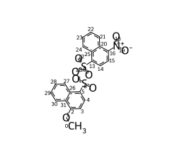 COc1ccc(S(=O)(=O)OS(=O)(=O)c2ccc([N+](=O)[O-])c3ccccc23)c2ccccc12